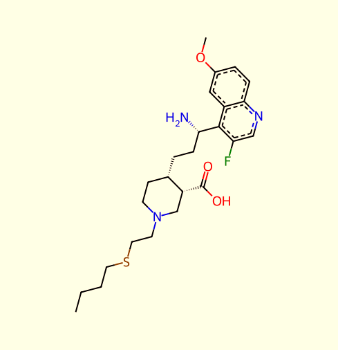 CCCCSCCN1CC[C@H](CC[C@H](N)c2c(F)cnc3ccc(OC)cc23)[C@H](C(=O)O)C1